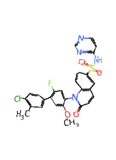 COc1cc(-c2ccc(Cl)c(C)c2)c(F)cc1-n1c(=O)ccc2cc(S(=O)(=O)Nc3ccncn3)ccc21